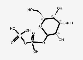 O=P(O)(O)OP(=O)(O)OC1O[C@H](CO)[C@H](O)[C@H](O)[C@@H]1O